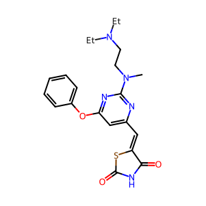 CCN(CC)CCN(C)c1nc(/C=C2\SC(=O)NC2=O)cc(Oc2ccccc2)n1